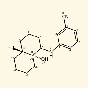 N#Cc1cccc(NC2CCC[C@H]3CCCC[C@]23O)c1